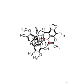 COc1cc2c(cc1O)CCN[C@]21C[S+]([O-])[C@@H]2c3c(OC(C)=O)c(C)c4c(c3[C@H](COC1=O)N1[C@@H]2C2c3c(cc(C)c(OC)c3O)CC([C@@H]1C#N)N2C)OCO4